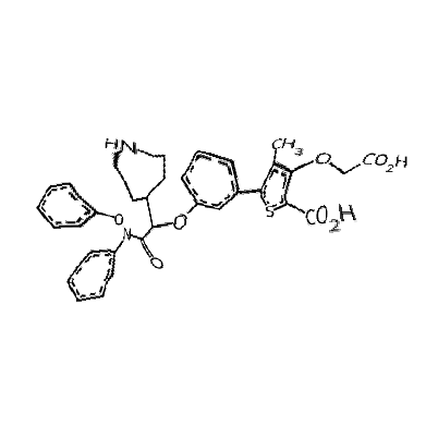 Cc1c(-c2cccc(OC(C(=O)N(Oc3ccccc3)c3ccccc3)C3CCNCC3)c2)sc(C(=O)O)c1OCC(=O)O